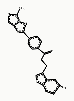 Cc1ncc2oc(-c3ccc(C(=O)CCc4csc5ccc(Cl)cc45)cc3)nn12